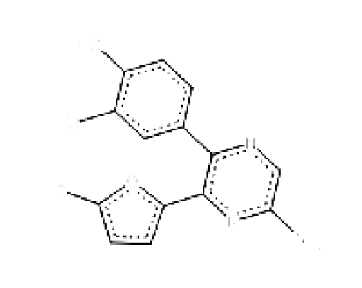 Cc1ccc(-c2nc(N)cnc2-c2ccc(O)c(Cl)c2)o1